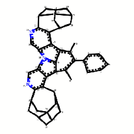 Cc1c(-c2ccccc2)c(C)c2c3c4c(ncc3n3c5cnc6c(c5c1c23)C1CC2CC(CC6C2)C1)C1CC2CC3CC4CC23C1